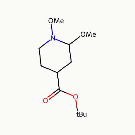 COC1CC(C(=O)OC(C)(C)C)CCN1OC